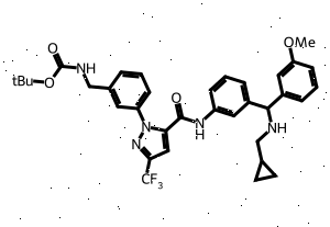 COc1cccc(C(NCC2CC2)c2cccc(NC(=O)c3cc(C(F)(F)F)nn3-c3cccc(CNC(=O)OC(C)(C)C)c3)c2)c1